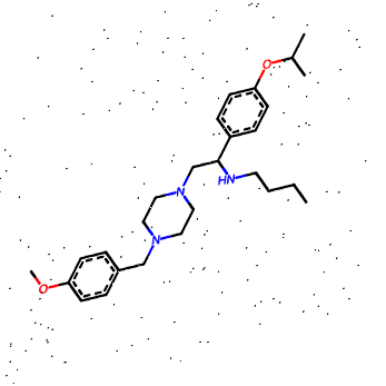 CCCCNC(CN1CCN(Cc2ccc(OC)cc2)CC1)c1ccc(OC(C)C)cc1